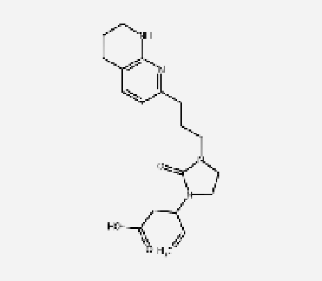 C=CC(CC(=O)O)N1CCN(CCCc2ccc3c(n2)NCCC3)C1=O